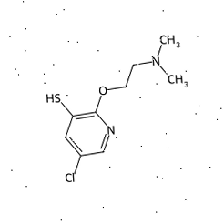 CN(C)CCOc1ncc(Cl)cc1S